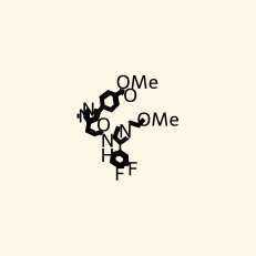 COCCN1C[C@@H](NC(=O)/C=C\c2cc(C3C=CC(C(=O)OC)=CC3)nn2C)[C@H](c2ccc(F)c(F)c2)C1